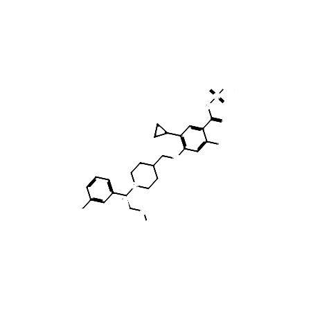 COC[C@@H](c1cccc(Cl)c1)N1CCC(COc2cc(F)c(C(=O)NS(C)(=O)=O)cc2C2CC2)CC1